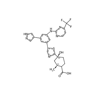 C[C@H]1C[C@](O)(c2ncc(-c3cc(Nc4nccc(C(F)(F)F)n4)cc(-c4cn[nH]c4)c3)s2)CCC1C(=O)O